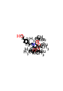 CC(C)(C)[Si](C)(C)OC[C@@H]1C(O[Si](C)(C)C(C)(C)C)C(O[Si](C)(C)C(C)(C)C)C(O[Si](C)(C)C(C)(C)C)CN1CCc1ccc(CCO)cc1